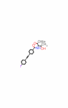 COC(=O)[C@H](NC(=O)c1ccc(C#Cc2ccc(I)cc2)cc1)[C@@H](C)O